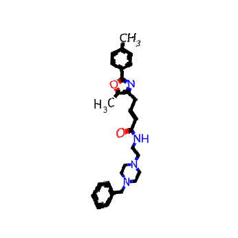 Cc1ccc(-c2nc(CCCC(=O)NCCN3CCN(Cc4ccccc4)CC3)c(C)o2)cc1